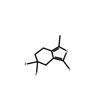 Cc1sc(I)c2c1CCC(F)(F)C2